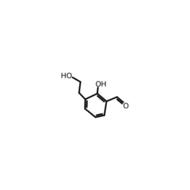 O=Cc1cccc(CCO)c1O